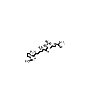 N=C(N)NCCC[C@H](N[N+](=O)[O-])C(=O)C(N)CCC[C@H](N)C(=O)N1CCC[C@H]1C(=O)O